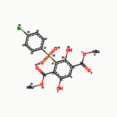 CCCCOC(=O)c1cc(O)c(C(=O)OCCCC)c(S(=O)(=O)c2ccc(Br)cc2)c1O